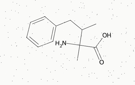 CC(Cc1ccccc1)C(C)(N)C(=O)O